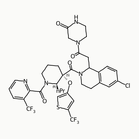 CCC[C@H]1N(C(=O)c2ncccc2C(F)(F)F)CCC[C@@]1(Oc1csc(C(F)(F)F)c1)C(=O)N1CCc2cc(Cl)ccc2C1CC(=O)N1CCNC(=O)C1